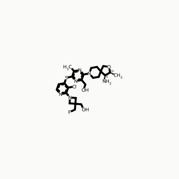 Cc1nc(N2CCC3(CC2)CO[C@@H](C)[C@H]3N)c(CO)nc1Sc1ccnc(N2CC(CO)(CF)C2)c1Cl